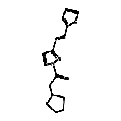 O=C(CC1CCCC1)n1ccc(C=Cc2cccs2)n1